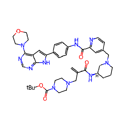 C=C(CN1CCN(C(=O)OC(C)(C)C)CC1)C(=O)N[C@@H]1CCCN(Cc2ccnc(C(=O)Nc3ccc(-c4cc5c(N6CCOCC6)ncnc5[nH]4)cc3)c2)C1